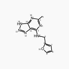 Cc1nc(NCc2ccco2)c2nn[nH]c2n1